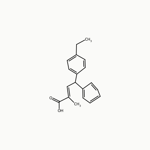 CCc1ccc(C(C=C(C)C(=O)O)c2ccccc2)cc1